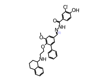 COc1cc(/C=N/NC(=O)c2ccc(O)c(Cl)c2)cc(-c2ccccc2)c1OCCNC1CCCc2ccccc21